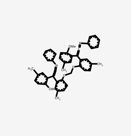 COc1ccc(C)cc1C(=C=Nc1ccccc1)c1cc(C)ccc1OCOc1ccc(C)cc1C(=C=Nc1ccccc1)c1cc(C)ccc1OC